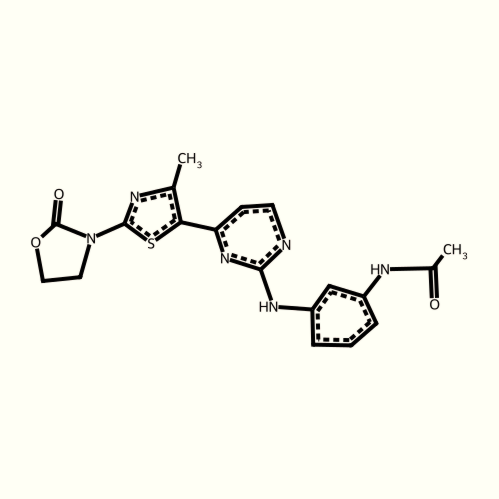 CC(=O)Nc1cccc(Nc2nccc(-c3sc(N4CCOC4=O)nc3C)n2)c1